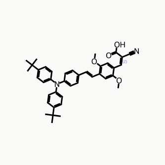 COc1cc(/C=C(/C#N)C(=O)O)c(OC)cc1C=Cc1ccc(N(c2ccc(C(C)(C)C)cc2)c2ccc(C(C)(C)C)cc2)cc1